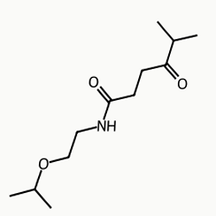 CC(C)OCCNC(=O)CCC(=O)C(C)C